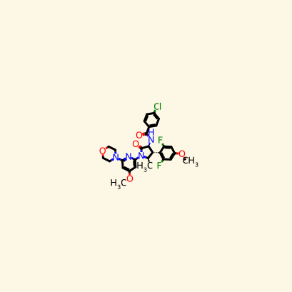 COc1cc(N2CCOCC2)nc(N2C(=O)[C@@H](NC(=O)c3ccc(Cl)cc3)[C@H](c3c(F)cc(OC)cc3F)[C@H]2C)c1